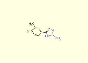 Cc1cc(-c2cnc(N)[nH]2)ccc1Cl